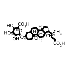 C[C@H](CCC(=O)O)[C@H]1CC[C@H]2[C@@H]3CCC4C[C@H](OC5O[C@H](C(=O)O)[C@@H](O)[C@H](O)[C@H]5O)CC[C@]4(C)[C@H]3CC[C@]12C